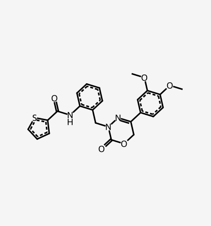 COc1ccc(C2=NN(Cc3ccccc3NC(=O)c3cccs3)C(=O)OC2)cc1OC